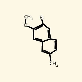 COc1cc2cc(C)ccc2cc1Br